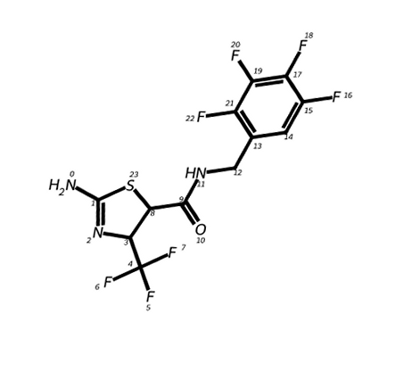 NC1=NC(C(F)(F)F)C(C(=O)NCc2cc(F)c(F)c(F)c2F)S1